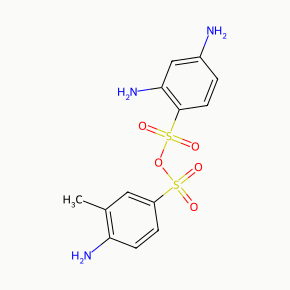 Cc1cc(S(=O)(=O)OS(=O)(=O)c2ccc(N)cc2N)ccc1N